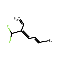 C=C/C(=C\C=C\CC)C(F)F